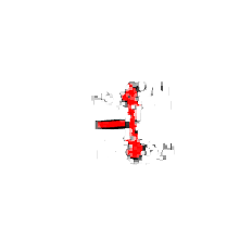 O=C(CCC(=O)Nc1ccc(S[C@@H]2O[C@H](COS(=O)(=O)O)[C@@H](O[C@H]3O[C@H](COS(=O)(=O)O)[C@@H](OS(=O)(=O)O)[C@H](OS(=O)(=O)O)[C@H]3OS(=O)(=O)O)[C@H](OS(=O)(=O)O)[C@H]2OS(=O)(=O)O)cc1)Nc1ccc(S[C@@H]2O[C@H](COS(=O)(=O)O)[C@@H](O[C@H]3O[C@H](COS(=O)(=O)O)[C@@H](OS(=O)(=O)O)[C@H](OS(=O)(=O)O)[C@H]3OS(=O)(=O)O)[C@H](OS(=O)(=O)O)[C@H]2OS(=O)(=O)O)cc1.[Na+].[Na+].[Na+].[Na+].[Na+].[Na+].[Na+].[Na+].[Na+].[Na+].[Na+].[Na+].[Na+].[Na+]